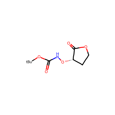 CC(C)(C)OC(=O)NO[C@H]1CCOC1=O